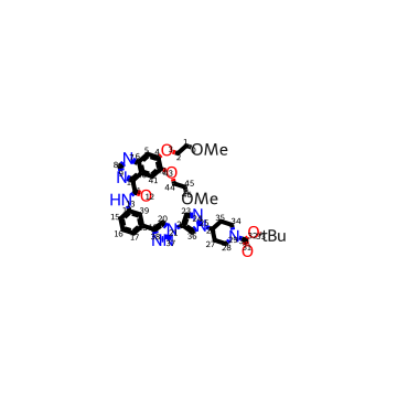 COCCOc1cc2ncnc(C(=O)Nc3cccc(-c4cn(-c5cnn(C6CCN(C(=O)OC(C)(C)C)CC6)c5)nn4)c3)c2cc1OCCOC